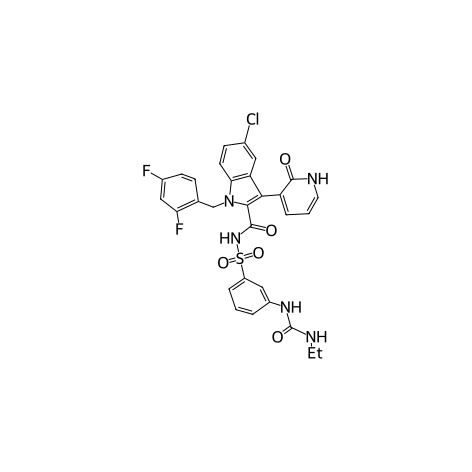 CCNC(=O)Nc1cccc(S(=O)(=O)NC(=O)c2c(-c3ccc[nH]c3=O)c3cc(Cl)ccc3n2Cc2ccc(F)cc2F)c1